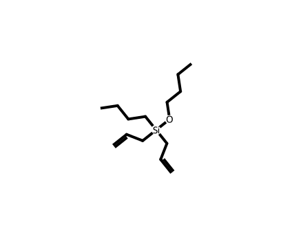 C=CC[Si](CC=C)(CCCC)OCCCC